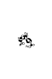 CC1(CN2CCN(C(=O)O)CC2)Cn2c([N+](=O)[O-])cnc2O1